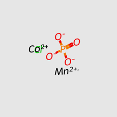 O=P([O-])([O-])[O-].[Cl-].[Co+2].[Mn+2]